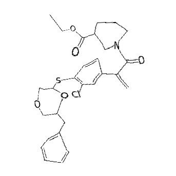 C=C(C(=O)N1CCCC(C(=O)OCC)C1)c1ccc(SC2COCC(Cc3ccccc3)O2)c(Cl)c1